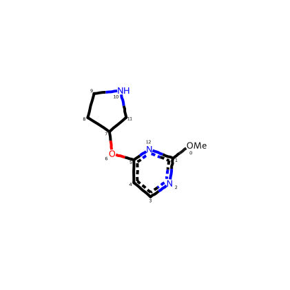 COc1nccc(OC2CCNC2)n1